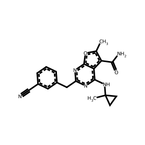 Cc1oc2nc(Cc3cccc(C#N)c3)nc(NC3(C)CC3)c2c1C(N)=O